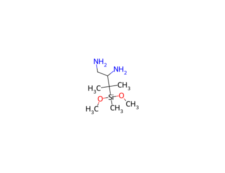 CO[Si](C)(OC)C(C)(C)C(N)CN